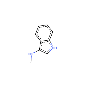 [CH2]Nc1c[nH]c2ccccc12